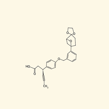 CC#C[C@@H](CC(=O)O)c1ccc(OCc2cccc(C34CCC5(OCCO5)C(C3)O4)c2)cc1